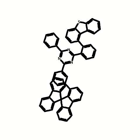 c1ccc(-c2nc(-c3cccc(-c4cccc5c4C4(c6ccccc6-c6ccccc64)c4ccccc4-5)c3)nc(-c3ccccc3-c3cccc4sc5ccccc5c34)n2)cc1